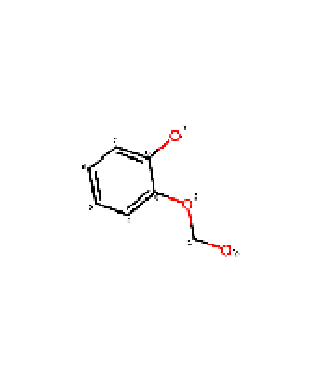 [O]COc1ccccc1[O]